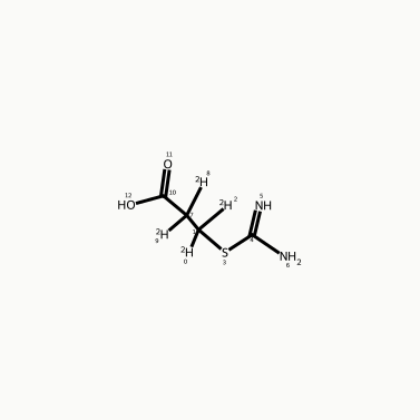 [2H]C([2H])(SC(=N)N)C([2H])([2H])C(=O)O